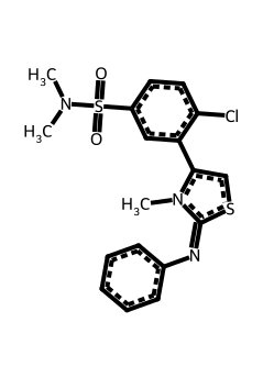 CN(C)S(=O)(=O)c1ccc(Cl)c(-c2csc(=Nc3ccccc3)n2C)c1